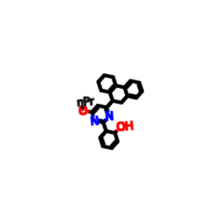 CCCOc1cc(C2Cc3ccccc3C3=C2CCCC3)nc(C2C=CC=CC2O)n1